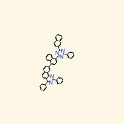 c1ccc(-c2nc(-c3ccc4ccccc4c3)nc(-c3ccc(-c4ccc5ccc6c(-c7ccccc7)nc(-c7ccccc7)nc6c5c4)c4ccccc34)n2)cc1